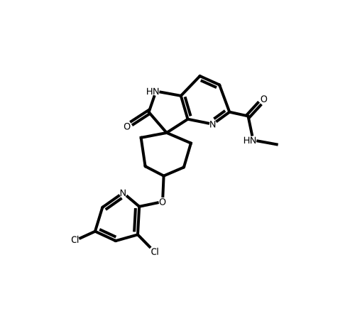 CNC(=O)c1ccc2c(n1)C1(CCC(Oc3ncc(Cl)cc3Cl)CC1)C(=O)N2